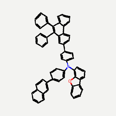 c1ccc(-c2c(-c3ccccc3)c3cc(-c4ccc(N(c5ccc(-c6ccc7ccccc7c6)cc5)c5cccc6c5oc5ccccc56)cc4)ccc3c3ccccc23)cc1